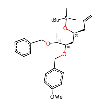 C=CC[C@@H](C[C@@H](OCc1ccc(OC)cc1)[C@@H](C)OCc1ccccc1)O[Si](C)(C)C(C)(C)C